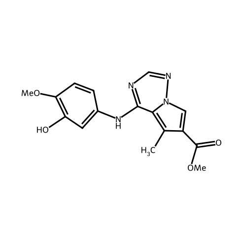 COC(=O)c1cn2ncnc(Nc3ccc(OC)c(O)c3)c2c1C